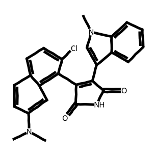 CN(C)c1ccc2ccc(Cl)c(C3=C(c4cn(C)c5ccccc45)C(=O)NC3=O)c2c1